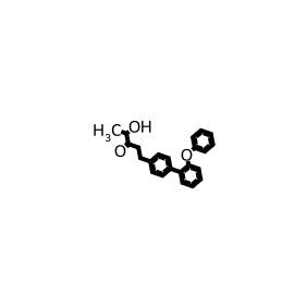 CC(O)C(=O)CCc1ccc(-c2ccccc2Oc2ccccc2)cc1